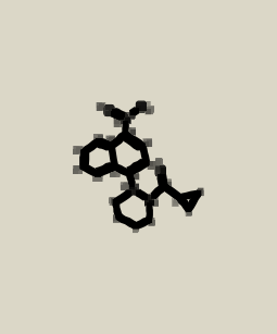 O=C(C1CC1)N1CCCCN1c1ccc([N+](=O)[O-])c2ccccc12